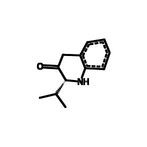 CC(C)[C@H]1Nc2ccccc2CC1=O